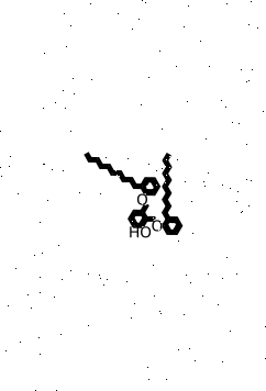 CCCCCCCCCCc1ccccc1OCc1cccc(O)c1COc1ccccc1CCCCCCCCCC